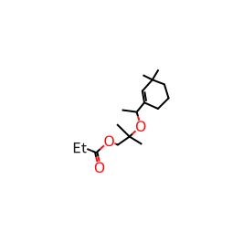 CCC(=O)OCC(C)(C)OC(C)C1=CC(C)(C)CCC1